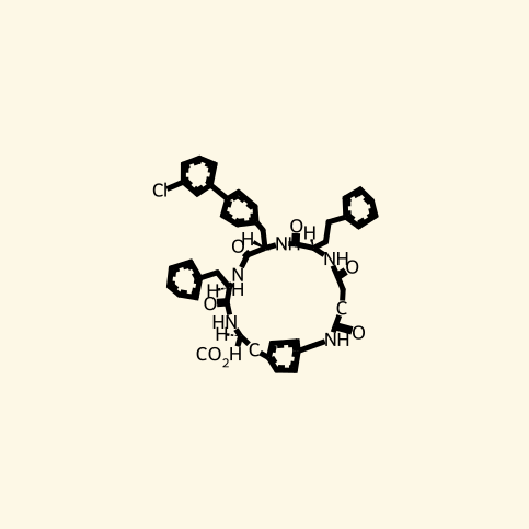 O=C1CCC(=O)N[C@H](CCc2ccccc2)C(=O)N[C@@H](Cc2ccc(-c3cccc(Cl)c3)cc2)C(=O)N[C@H](Cc2ccccc2)C(=O)N[C@H](C(=O)O)Cc2ccc(cc2)N1